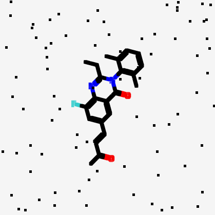 CCc1nc2c(F)cc(/C=C/C(C)=O)cc2c(=O)n1-c1c(C)cccc1C